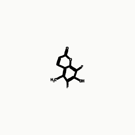 Cc1c(F)c(O)c(F)c2oc(=O)ccc12